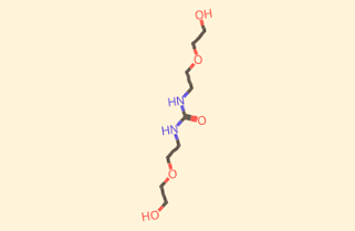 O=C(NCCOCCO)NCCOCCO